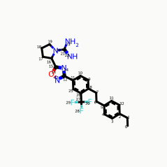 CCc1ccc(CCc2ccc(-c3noc(C4CCCN4C(=N)N)n3)cc2C(F)(F)F)cc1